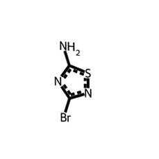 Nc1nc(Br)ns1